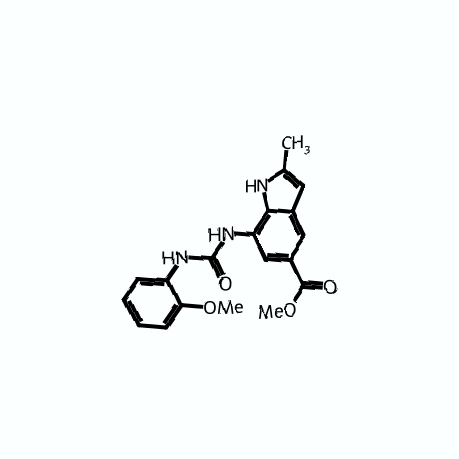 COC(=O)c1cc(NC(=O)Nc2ccccc2OC)c2[nH]c(C)cc2c1